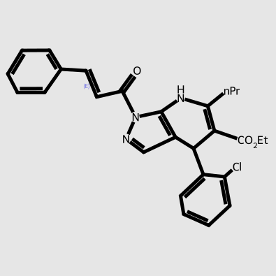 CCCC1=C(C(=O)OCC)C(c2ccccc2Cl)c2cnn(C(=O)/C=C/c3ccccc3)c2N1